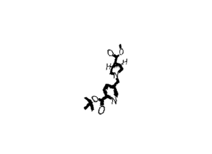 COC(=O)C1[C@H]2CN(Cc3ccc(C(=O)OC(C)(C)C)nc3)C[C@@H]12